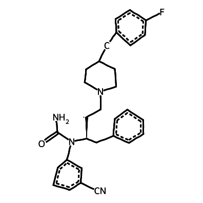 N#Cc1cccc(N(C(N)=O)[C@@H]([CH]CN2CCC(Cc3ccc(F)cc3)CC2)Cc2ccccc2)c1